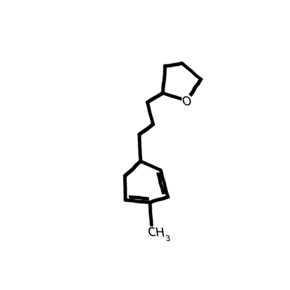 CC1=CCC(CCCC2CCCO2)C=C1